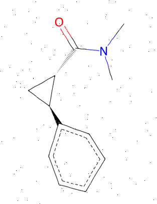 CN(C)C(=O)[C@H]1C[C@@H]1c1ccccc1